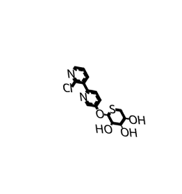 O[C@@H]1[C@@H](O)[C@@H](Oc2ccc(-c3cccnc3Cl)nc2)SC[C@H]1O